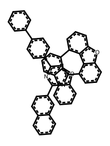 c1ccc(-c2ccc(-c3nc(-c4ccc5ccccc5c4)nc(-c4cccc5oc6cccc(-c7cccc8c7oc7ccccc78)c6c45)n3)cc2)cc1